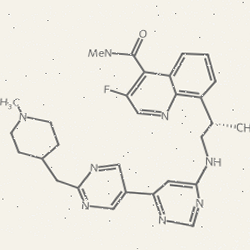 CNC(=O)c1c(F)cnc2c([C@H](C)CNc3cc(-c4cnc(CC5CCN(C)CC5)nc4)ncn3)cccc12